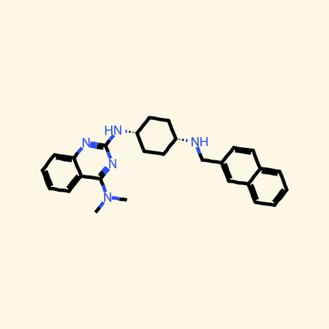 CN(C)c1nc(N[C@H]2CC[C@@H](NCc3ccc4ccccc4c3)CC2)nc2ccccc12